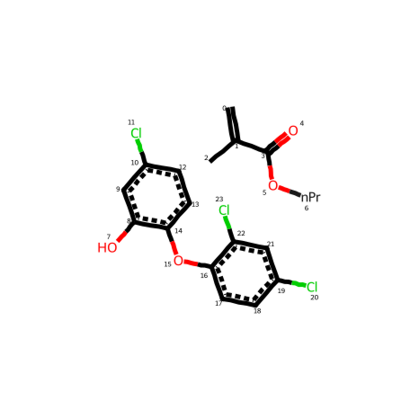 C=C(C)C(=O)OCCC.Oc1cc(Cl)ccc1Oc1ccc(Cl)cc1Cl